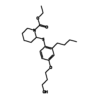 CCCCc1cc(OCCCO)ccc1SC1CCCCN1C(=O)OCC